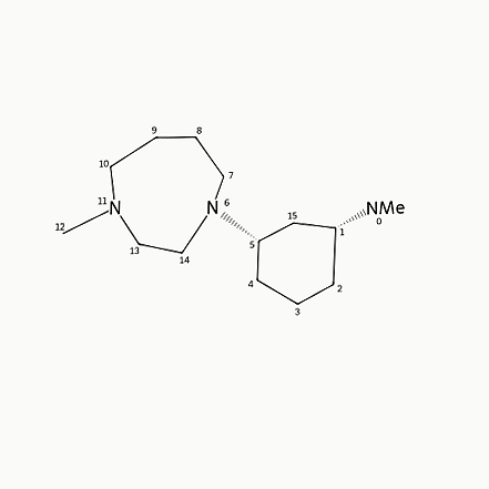 CN[C@@H]1CCC[C@H](N2CCCCN(C)CC2)C1